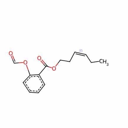 CC/C=C\CCOC(=O)c1ccccc1OC=O